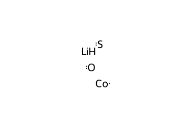 [Co].[LiH].[O].[S]